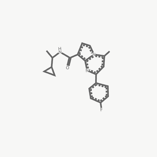 Cc1cc(-c2ccc(F)cc2)nc2c(C(=O)NC(C)C3CC3)ccn12